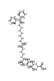 O=C(O)CCC(NC(=O)NC(CCCCNC(=O)CCCCCCCNC(c1ccccn1)c1ccccn1)C(=O)O)C(=O)O